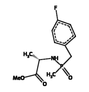 COC(=O)[C@H](C)NP(C)(=O)Cc1ccc(F)cc1